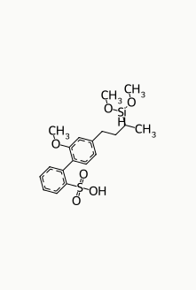 COc1cc(CCC(C)[SiH](OC)OC)ccc1-c1ccccc1S(=O)(=O)O